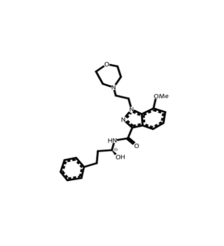 COc1cccc2c(C(=O)N[C@@H](O)CCc3ccccc3)nn(CCN3CCOCC3)c12